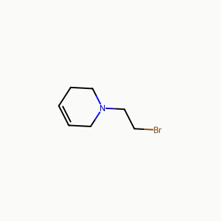 BrCCN1CC=CCC1